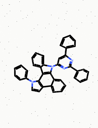 c1ccc(-c2cc(-n3c4ccccc4c4c5c(ccn5-c5ccccc5)c5ccccc5c43)nc(-c3ccccc3)n2)cc1